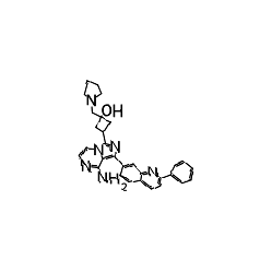 Nc1nccn2c(C3CC(O)(CN4CCCC4)C3)nc(-c3ccc4ccc(-c5ccccc5)nc4c3)c12